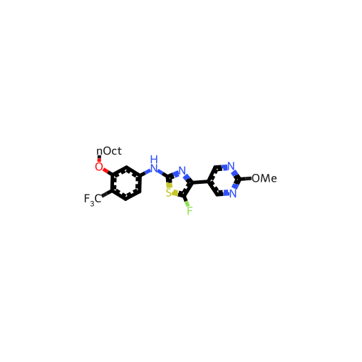 CCCCCCCCOc1cc(Nc2nc(-c3cnc(OC)nc3)c(F)s2)ccc1C(F)(F)F